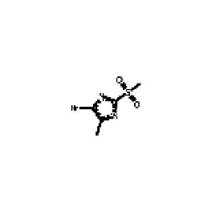 Cc1sc(S(C)(=O)=O)nc1Br